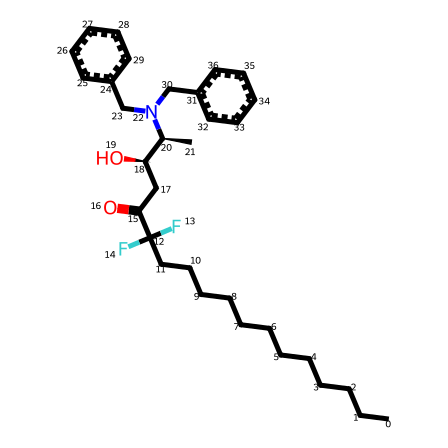 CCCCCCCCCCCCC(F)(F)C(=O)C[C@@H](O)[C@H](C)N(Cc1ccccc1)Cc1ccccc1